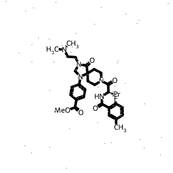 COC(=O)c1ccc(N2CN(CCN(C)C)C(=O)C23CCN(C(=O)[C@H](NC(=O)c2cc(C)ccc2F)C(C)C)CC3)cc1